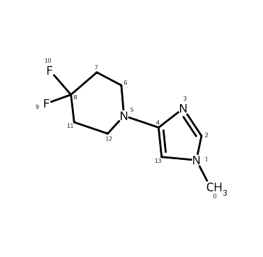 Cn1cnc(N2CCC(F)(F)CC2)c1